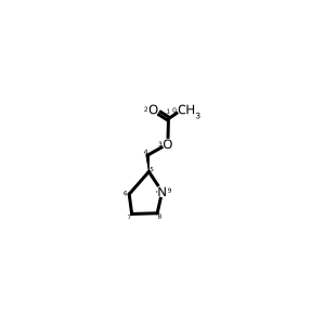 CC(=O)OC[C@@H]1CCC[N]1